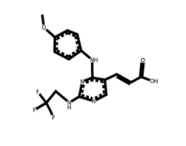 COc1ccc(Nc2nc(NCC(F)(F)F)ncc2C=CC(=O)O)cc1